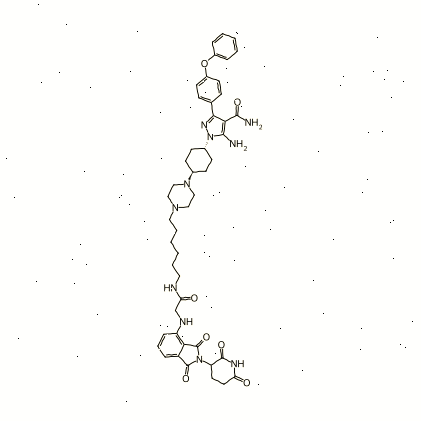 NC(=O)c1c(-c2ccc(Oc3ccccc3)cc2)nn([C@H]2CC[C@H](N3CCN(CCCCCCNC(=O)CNc4cccc5c4C(=O)N(C4CCC(=O)NC4=O)C5=O)CC3)CC2)c1N